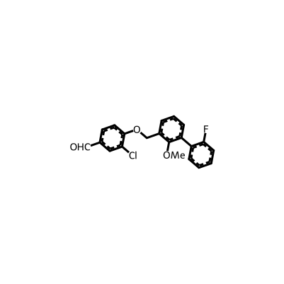 COc1c(COc2ccc(C=O)cc2Cl)cccc1-c1ccccc1F